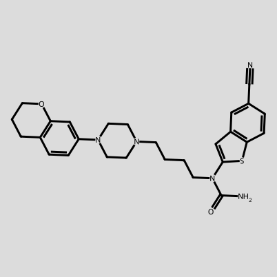 N#Cc1ccc2sc(N(CCCCN3CCN(c4ccc5c(c4)OCCC5)CC3)C(N)=O)cc2c1